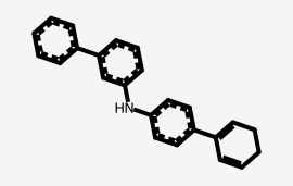 C1=CC(c2ccc(Nc3cccc(-c4ccccc4)c3)cc2)=CCC1